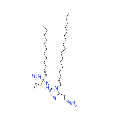 CCCCCCCCCCC=CC(N)(N)CCC.CCCCCCCCCCCCCCCC=CN1CCN=C1CCN